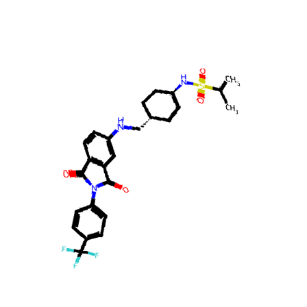 CC(C)S(=O)(=O)N[C@H]1CC[C@H](CNc2ccc3c(c2)C(=O)N(c2ccc(C(F)(F)F)cc2)C3=O)CC1